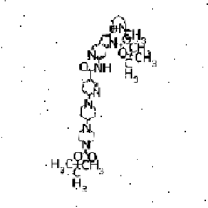 CN1CCC[C@@H]1c1cc2cnc(NC(=O)c3ccc(N4CCC(N5CCN(C(=O)OC(C)(C)C)CC5)CC4)nc3)cc2n1C(=O)OC(C)(C)C